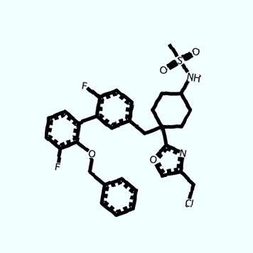 CS(=O)(=O)NC1CCC(Cc2ccc(F)c(-c3cccc(F)c3OCc3ccccc3)c2)(c2nc(CCl)co2)CC1